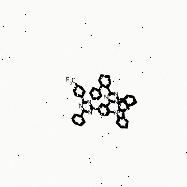 FC(F)(F)c1ccc(-c2nc(-c3ccccc3)nc(-c3ccc(-n4c5ccccc5c5ccccc54)c(-c4nc(-c5ccccc5)nc(-c5ccccc5-c5ccccc5)n4)c3)n2)cc1